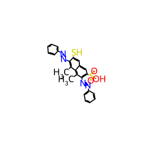 Cc1c(N=Nc2ccccc2)c(S)cc2cc(S(=O)(=O)O)c(N=Nc3ccccc3)c(C)c12